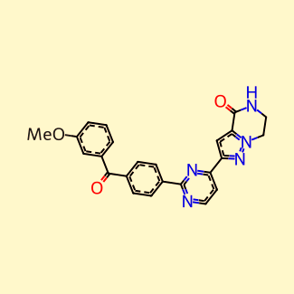 COc1cccc(C(=O)c2ccc(-c3nccc(-c4cc5n(n4)CCNC5=O)n3)cc2)c1